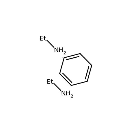 CCN.CCN.[c]1ccccc1